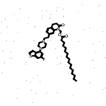 CCCCCCCCCCCCCCCCC(=O)OCN1C(=O)CCc2ccc(CCN3CCN(c4cc(F)cc5sccc45)CC3)cc21